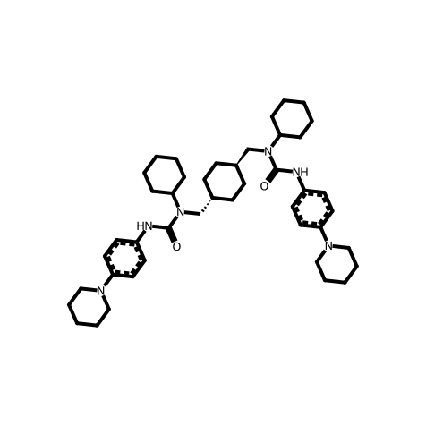 O=C(Nc1ccc(N2CCCCC2)cc1)N(C[C@H]1CC[C@H](CN(C(=O)Nc2ccc(N3CCCCC3)cc2)C2CCCCC2)CC1)C1CCCCC1